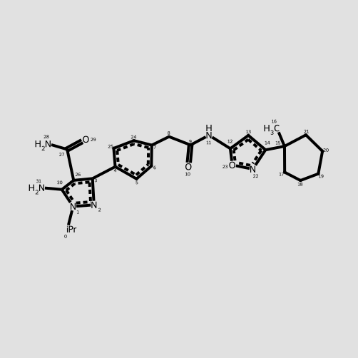 CC(C)n1nc(-c2ccc(CC(=O)Nc3cc(C4(C)CCCCC4)no3)cc2)c(C(N)=O)c1N